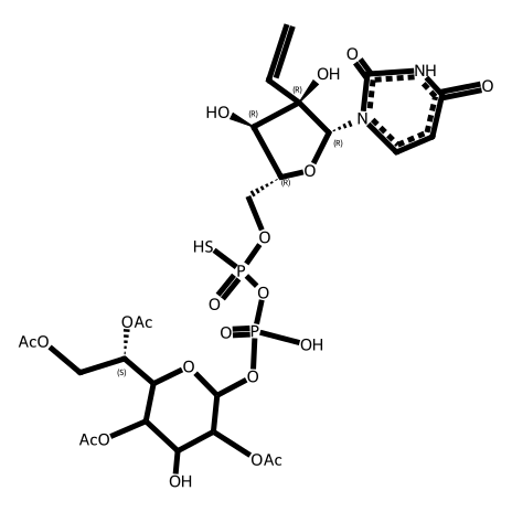 C=C[C@@]1(O)[C@H](O)[C@@H](COP(=O)(S)OP(=O)(O)OC2OC([C@H](COC(C)=O)OC(C)=O)C(OC(C)=O)C(O)C2OC(C)=O)O[C@H]1n1ccc(=O)[nH]c1=O